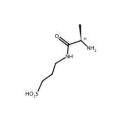 C[C@@H](N)C(=O)NCCCS(=O)(=O)O